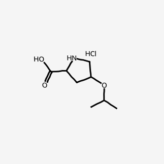 CC(C)OC1CNC(C(=O)O)C1.Cl